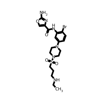 CCNCCCS(=O)(=O)N1CCN(c2ccc(Br)c(NC(=O)c3coc(N)n3)c2)CC1